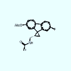 CCC(=O)NC[C@H]1C[C@@]12c1cc(F)ccc1-c1ccc(OC)cc12